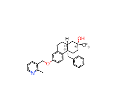 Cc1ncccc1COc1ccc2c(c1)CC[C@@H]1C[C@@](O)(C(F)(F)F)CC[C@@]21Cc1ccccc1